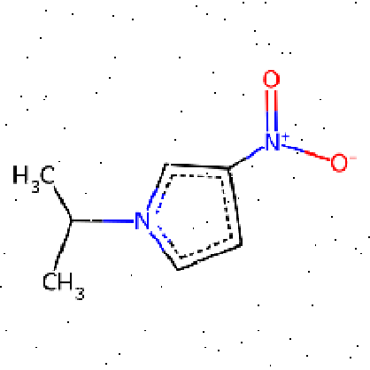 CC(C)n1ccc([N+](=O)[O-])c1